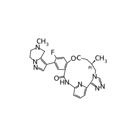 C[C@@H]1CCOc2cc(F)c(-c3cnn4c3CN(C)CC4)cc2C(=O)Nc2cccc(n2)-c2nncn2C1